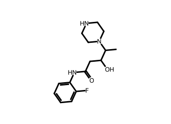 CC(C(O)CC(=O)Nc1ccccc1F)N1CCNCC1